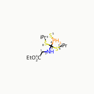 CCOC(=O)CNC([PH2]=S)(SC(C)C)SC(C)C